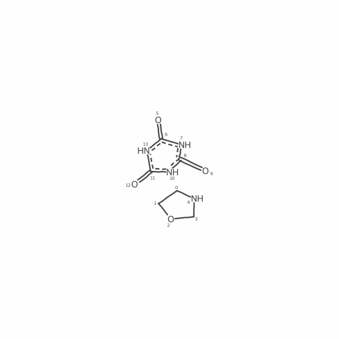 C1COCN1.O=c1[nH]c(=O)[nH]c(=O)[nH]1